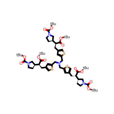 CC(C)(C)OC(=O)[C@@H](Cc1csc(CN(Cc2cc(C[C@H](C(=O)OC(C)(C)C)[C@H]3CCN(C(=O)OC(C)(C)C)C3)cs2)Cc2cc(C[C@H](C(=O)OC(C)(C)C)[C@H]3CCN(C(=O)OC(C)(C)C)C3)cs2)c1)[C@H]1CCN(C(=O)OC(C)(C)C)C1